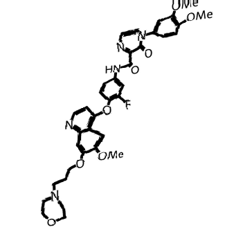 COc1ccc(-n2ccnc(C(=O)Nc3ccc(Oc4ccnc5cc(OCCCN6CCOCC6)c(OC)cc45)c(F)c3)c2=O)cc1OC